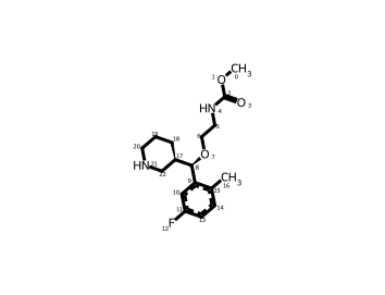 COC(=O)NCCO[C@@H](c1cc(F)ccc1C)[C@@H]1CCCNC1